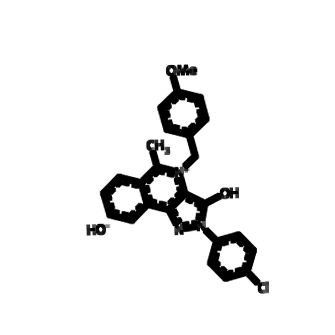 COc1ccc(C[n+]2c(C)c3ccccc3c3nn(-c4ccc(Cl)cc4)c(O)c32)cc1.[OH-]